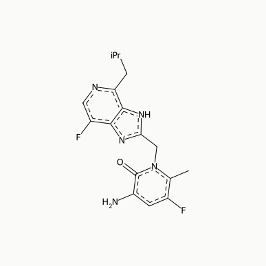 Cc1c(F)cc(N)c(=O)n1Cc1nc2c(F)cnc(CC(C)C)c2[nH]1